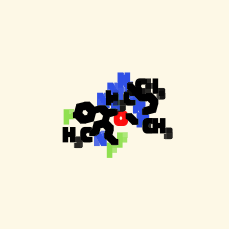 Cc1cc(-c2c(OCCN(C)c3cccc(C(C)(C)C#N)n3)nc(N)nc2-c2ccc(F)cc2)cc(C(F)F)n1